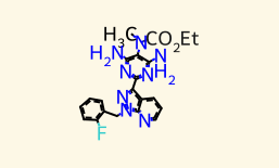 CCOC(=O)N(C)c1c(N)nc(-c2nn(Cc3ccccc3F)c3ncccc23)nc1N